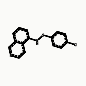 Clc1ccc(SNc2cccc3cnccc23)cc1